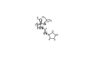 COP(=S)(NC=NC1CCCC1)SC(C)C